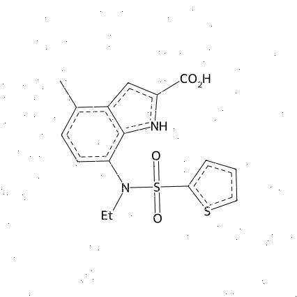 CCN(c1ccc(C)c2cc(C(=O)O)[nH]c12)S(=O)(=O)c1cccs1